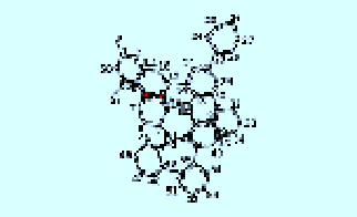 Cc1cc(C)c(-c2ccc3c(c2)B(c2c(-c4ccccc4)cc(-c4ccccc4)cc2-c2ccccc2)c2cccc4c2N3c2ccccc2-c2ccccc2-4)c(C)c1